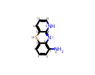 Nc1cccc2c1N=C1NC=CC=C1S2